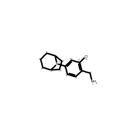 NCc1ccc(N2C3CCCC2CC3)cc1Cl